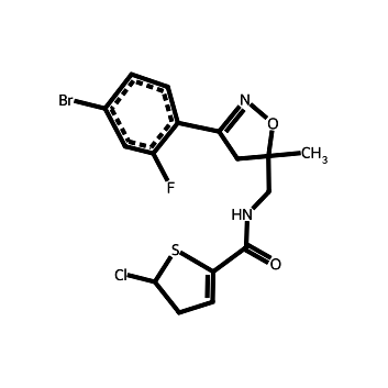 CC1(CNC(=O)C2=CCC(Cl)S2)CC(c2ccc(Br)cc2F)=NO1